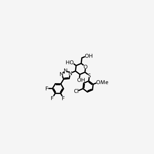 COc1ccc(Cl)cc1SC1OC(CO)C(O)C(n2cc(-c3cc(F)c(F)c(F)c3)nn2)C1O